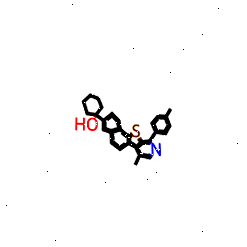 Cc1ccc(-c2ncc(C)c3c2sc2c4ccc(C5(O)CCCCC5)cc4ccc23)cc1